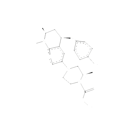 CC(=O)N1c2ccc(N3CCN(C(=O)OC(C)(C)C)[C@H](C)C3)cc2[C@H](Nc2ccc(C#N)cc2)[C@@H](C)[C@@H]1O